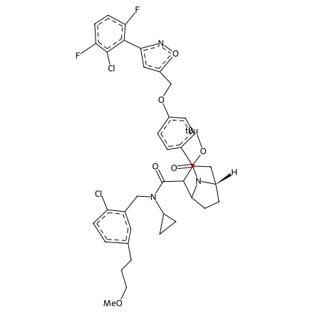 COCCCc1ccc(Cl)c(CN(C(=O)C2C(c3ccc(OCc4cc(-c5c(F)ccc(F)c5Cl)no4)cc3)C[C@@H]3CCC2N3C(=O)OC(C)(C)C)C2CC2)c1